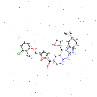 Cc1c(Cl)cccc1OCc1ccc(C(=O)N2CCN(Cc3nc4ccc(C(=O)O)cc4n3C[C@@H]3CCO3)CC2)o1